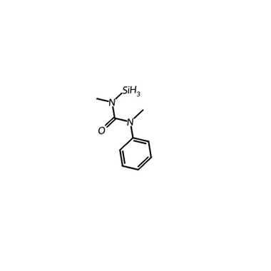 CN([SiH3])C(=O)N(C)c1ccccc1